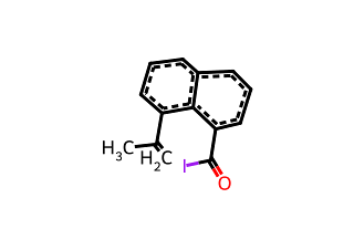 C=C(C)c1cccc2cccc(C(=O)I)c12